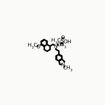 COc1cccc2c1CCCC2CN(C)CCc1ccc2c(c1)CN(C)C2.CS(=O)(=O)O